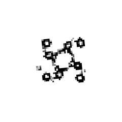 [Ni].c1ccc(Oc2ccc3c(c2)-c2nc-3nc3[nH]c(nc4nc(nc5[nH]c(n2)c2ccc(Oc6ccccc6)cc52)-c2ccc(Oc5ccccc5)cc2-4)c2ccc(Oc4ccccc4)cc32)cc1